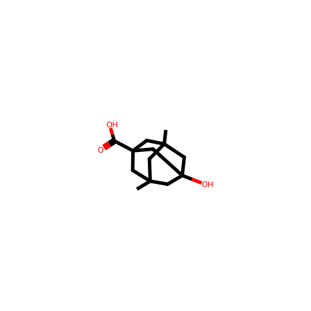 CC12CC3(C)CC(O)(C1)CC(C(=O)O)(C2)C3